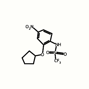 O=[N+]([O-])c1ccc(NS(=O)(=O)C(F)(F)F)c(OC2CCCC2)c1